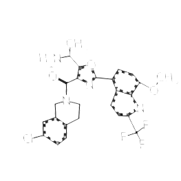 COc1ccc(-c2nc(C(=O)N3CCc4ccc(Cl)cc4C3)c([C@H](C)N)o2)c2ccc(C(F)(F)F)nc12